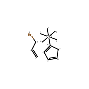 C=CCBr.[CH3][Zr]([CH3])([CH3])([CH3])([CH3])[C]1=CC=CC1